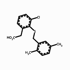 Cc1ccc(C)c(CSc2c(Cl)cccc2CC(=O)O)c1